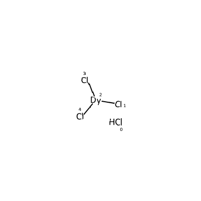 Cl.[Cl][Dy]([Cl])[Cl]